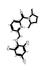 CC1CCC(C)N1C(=O)c1cccc(COc2c(Cl)cc(Cl)cc2Cl)n1